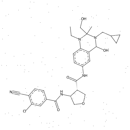 CCN1c2ccc(NC(=O)[C@@H]3COCC3NC(=O)c3ccc(C#N)c(Cl)c3)cc2C(O)N(CC2CC2)C1(C)CO